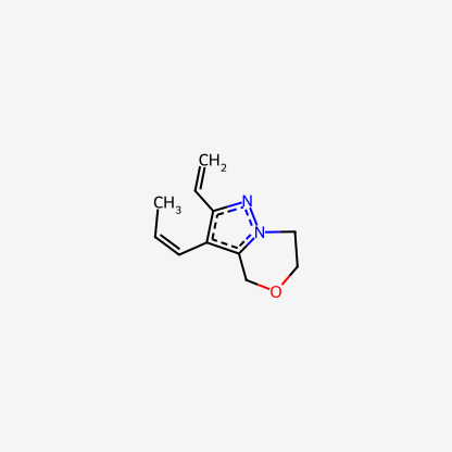 C=Cc1nn2c(c1/C=C\C)COCC2